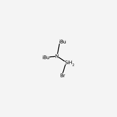 CCC(C)N([SiH2]Br)C(C)CC